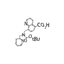 CC(C)(C)OC(=O)N(Cc1ccccn1)Cc1ccc(C(=O)O)c2cccnc12